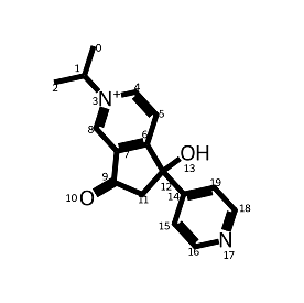 CC(C)[n+]1ccc2c(c1)C(=O)CC2(O)c1ccncc1